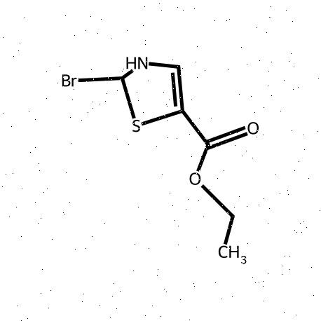 CCOC(=O)C1=CNC(Br)S1